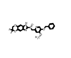 COc1cc(C[S+]([O-])c2nc3cc4c(cc3[nH]2)OCC(F)(F)O4)ncc1OCc1ccccc1